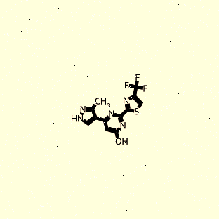 Cc1n[nH]cc1-c1cc(O)nc(-c2nc(C(F)(F)F)cs2)n1